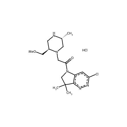 COC[C@H]1CN[C@H](C)CN1CC(=O)N1CC(C)(C)c2nnc(Cl)cc21.Cl